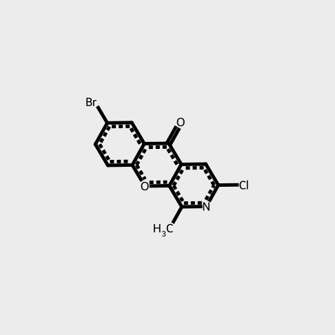 Cc1nc(Cl)cc2c(=O)c3cc(Br)ccc3oc12